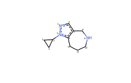 c1nn(C2CC2)c2c1CNCCC2